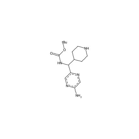 CC(C)(C)OC(=O)NC(c1cnc(N)cn1)C1CCNCC1